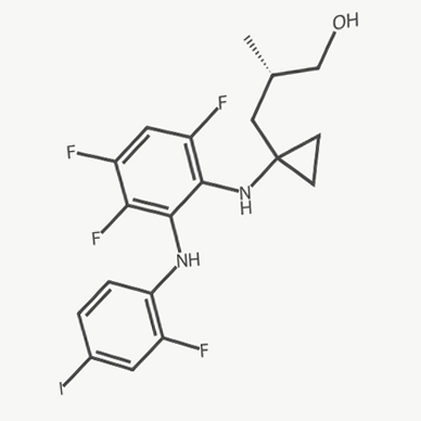 C[C@H](CO)CC1(Nc2c(F)cc(F)c(F)c2Nc2ccc(I)cc2F)CC1